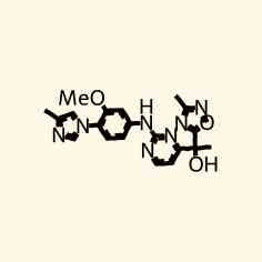 COc1cc(Nc2nccc(C(C)(O)c3nc(C)no3)n2)ccc1-n1cnc(C)c1